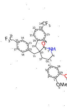 COc1ccc([C@H]2CNC(=O)C(Cc3ccc(C(F)(F)F)cc3)(Cc3ccc(C(F)(F)F)cc3)C2)cc1OC(C)C